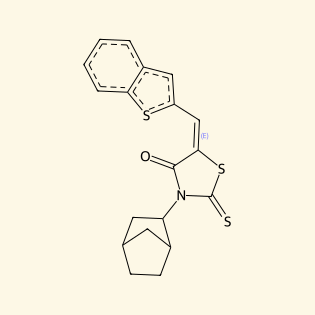 O=C1/C(=C\c2cc3ccccc3s2)SC(=S)N1C1CC2CCC1C2